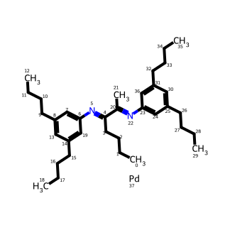 CCCCC(=N\c1cc(CCCC)cc(CCCC)c1)/C(C)=N/c1cc(CCCC)cc(CCCC)c1.[Pd]